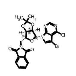 CC1(C)O[C@@H]2[C@H](O1)[C@@H](CN1C(=O)c3ccccc3C1=O)O[C@H]2n1cc(Br)c2c(Cl)ncnc21